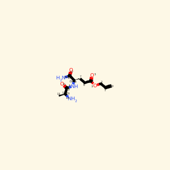 C=CCOC(=O)CC[C@H](NC(=O)[C@H](C)N)C(N)=O